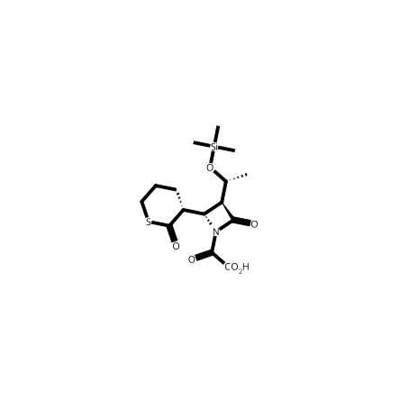 C[C@@H](O[Si](C)(C)C)[C@H]1C(=O)N(C(=O)C(=O)O)[C@@H]1[C@H]1CCCSC1=O